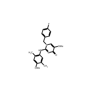 COc1cc(C)c(Nc2nc(=O)c(OC)cn2Cc2ccc(F)cc2)cc1C